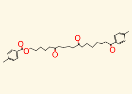 Cc1ccc(C(=O)CCCCCCC(=O)CCCCC(=O)CCCCCOC(=O)c2ccc(C)cc2)cc1